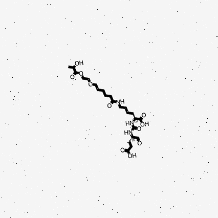 CC(O)C(=O)OCCOCCCCCC(=O)NCCCC[C@H](NC(=O)N[C@H](C=O)CCC(=O)O)C(=O)O